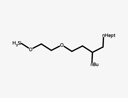 CCCCCCCCC(CCCC)CCOCCO[SiH3]